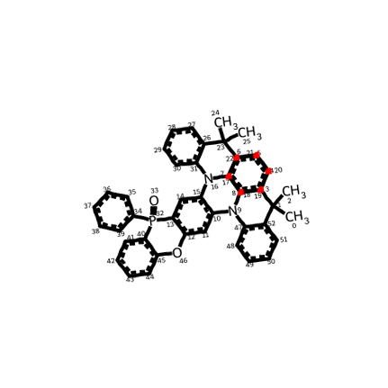 CC1(C)c2ccccc2N(c2cc3c(cc2N2c4ccccc4C(C)(C)c4ccccc42)P(=O)(c2ccccc2)c2ccccc2O3)c2ccccc21